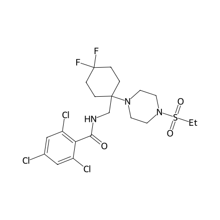 CCS(=O)(=O)N1CCN(C2(CNC(=O)c3c(Cl)cc(Cl)cc3Cl)CCC(F)(F)CC2)CC1